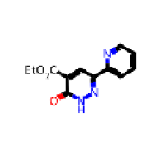 CCOC(=O)c1cc(-c2ccccn2)n[nH]c1=O